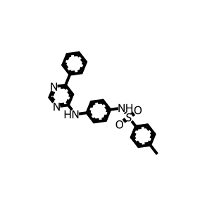 Cc1ccc(S(=O)(=O)Nc2ccc(Nc3cc(-c4ccccc4)ncn3)cc2)cc1